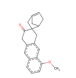 COc1cccc2cc3c(cc12)CC1(CC2=CCC1C2)C(=O)C3